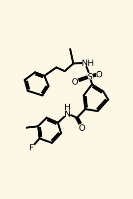 Cc1cc(NC(=O)c2cccc(S(=O)(=O)NC(C)CCc3ccccc3)c2)ccc1F